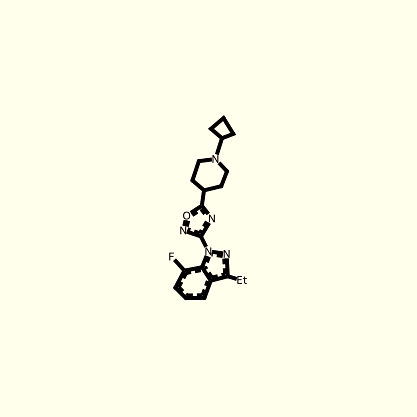 CCc1nn(-c2noc(C3CCN(C4CCC4)CC3)n2)c2c(F)cccc12